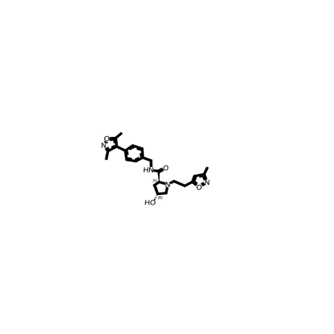 Cc1cc(CCN2C[C@H](O)C[C@H]2C(=O)NCc2ccc(-c3c(C)noc3C)cc2)on1